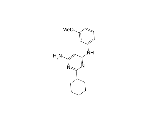 COc1cccc(Nc2cc(N)nc(C3CCCCC3)n2)c1